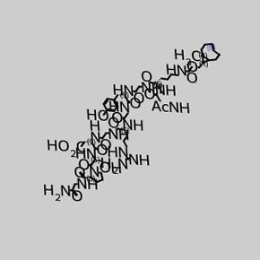 CC(=O)NCC(=O)N[C@@H](CCCCNC(=O)OC[C@@H]1C2CC/C=C/CC[C@]21C)C(=O)NCC(=O)N[C@@H](Cc1ccc(O)cc1)C(=O)NCC(=O)N[C@@H](CCCNC(=N)N)C(=O)NCC(=O)N[C@@H](CC(=O)O)C(=O)N[C@@H](CO)C(=O)N1CCC[C@H]1C(=O)NCC(N)=O